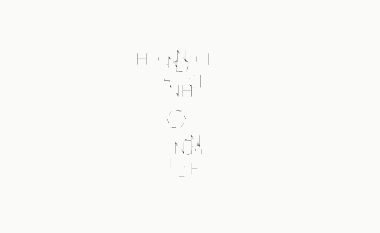 Cc1nn(C)c(C(=O)NCc2ccc(-c3noc(C(F)(F)F)n3)cc2)c1Cl